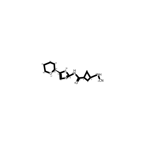 N#CNC1CC(C(=O)Nc2ncc([C@@H]3CCCCO3)s2)C1